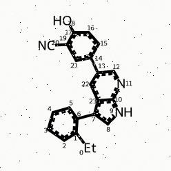 CCc1ccccc1-c1c[nH]c2ncc(-c3ccc(O)c(C#N)c3)cc12